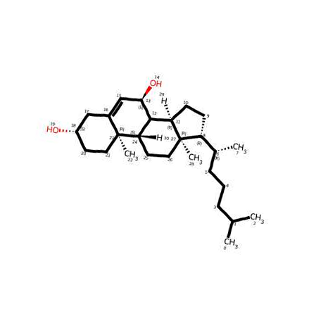 CC(C)CCC[C@@H](C)[C@H]1CC[C@@H]2C3[C@H](O)C=C4C[C@@H](O)CC[C@]4(C)[C@H]3CC[C@@]21C